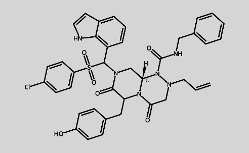 C=CCN1CC(=O)N2C(Cc3ccc(O)cc3)C(=O)N(C(c3cccc4cc[nH]c34)S(=O)(=O)c3ccc(Cl)cc3)C[C@@H]2N1C(=O)NCc1ccccc1